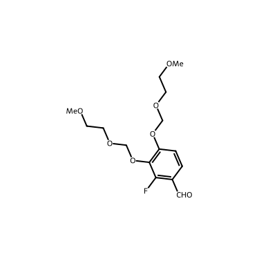 COCCOCOc1ccc(C=O)c(F)c1OCOCCOC